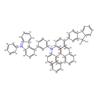 CC1(C)c2ccccc2-c2ccc(-c3ccc(N(c4cccc(-c5cccc6c5c5ccccc5n6-c5ccccc5)c4)c4ccccc4-c4cccc5cccc(-c6ccccc6)c45)cc3)cc21